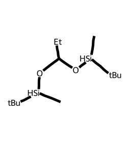 CCC(O[SiH](C)C(C)(C)C)O[SiH](C)C(C)(C)C